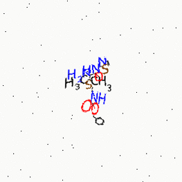 CC(C)(SCCNC(=O)OCc1ccccc1)[C@H](N)C(=O)Nc1nccs1